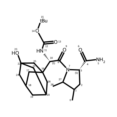 CC1C[C@@H](C(N)=O)N(C(=O)[C@@H](NC(=O)OC(C)(C)C)C23CC4CC(CC(O)(C4)C2)C3)C1C